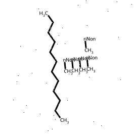 CCCCCCCCCC.CCCCCCCCCC.CCCCCCCCCC.CCCCCCCCCC.CCCCCCCCCC.CCCCCCCCCCCC